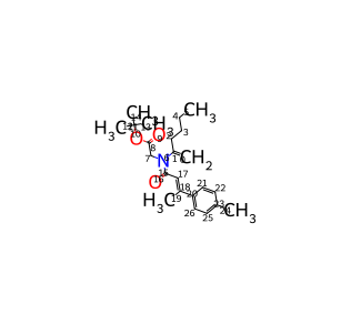 C=C(CCCC)N(CC(=O)OC(C)(C)C)C(=O)/C=C(\C)c1ccc(C)cc1